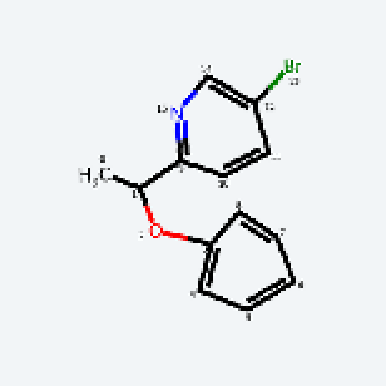 CC(Oc1ccccc1)c1ccc(Br)cn1